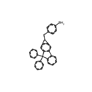 Bc1ccc(CC2c3cc4c(cc32)C(c2ccccc2)(c2ccccc2)c2ccccc2-4)cc1